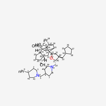 CCCC1CCN(CC2CCN(C[C@@H]3O[C@@H](C45C[C@@H]6[C@H](C)CC[C@H]6C6(C=O)CC4C=C(C(C)C)[C@]65C(=O)O)C[C@H]3CC3CCCC3)CC2)CC1